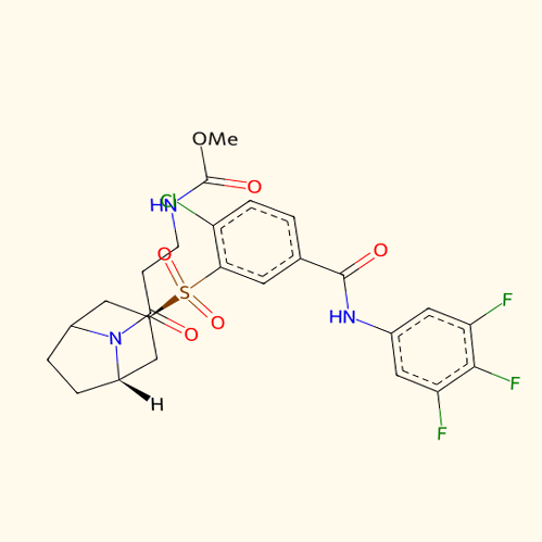 COC(=O)NCCC(=O)N1C2CC[C@H]1C[C@H](S(=O)(=O)c1cc(C(=O)Nc3cc(F)c(F)c(F)c3)ccc1Cl)C2